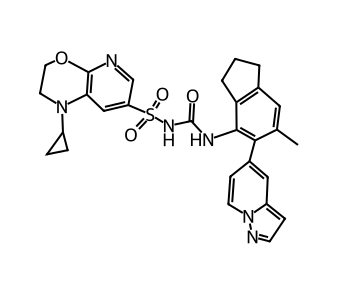 Cc1cc2c(c(NC(=O)NS(=O)(=O)c3cnc4c(c3)N(C3CC3)CCO4)c1-c1ccn3nccc3c1)CCC2